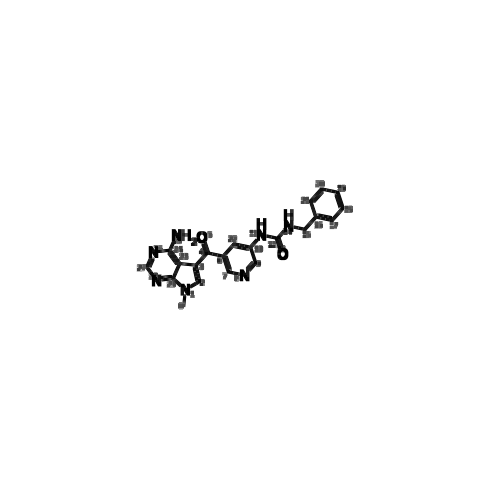 Cn1cc(C(=O)c2cncc(NC(=O)NCc3ccccc3)c2)c2c(N)ncnc21